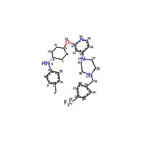 Cc1ccc(N[C@H]2CC[C@H](Oc3cc(N4CCN(Cc5ccc(C(F)(F)F)cc5)CC4)ccn3)CC2)cc1